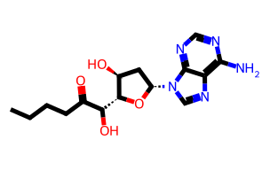 CCCCC(=O)C(O)[C@H]1O[C@@H](n2cnc3c(N)ncnc32)C[C@@H]1O